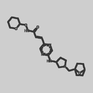 O=C(/C=C/c1cnc(NC2CCN(CC34CCC(CC3)O4)C2)cn1)NOC1CCCCO1